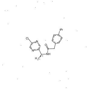 CC(C)c1ccc(CC(=O)N[C@@H](C)c2cnc(Cl)cn2)cc1